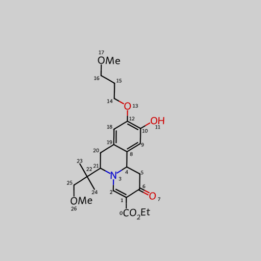 CCOC(=O)C1=CN2C(CC1=O)c1cc(O)c(OCCCOC)cc1CC2C(C)(C)COC